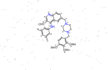 COc1ccc(CN2CCN(Cc3ccc4ncc([C]=O)c(Nc5cc(C)cc(C)c5)c4c3)CC2)c(OC)c1OC